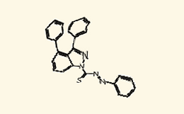 S=C(N=Nc1ccccc1)n1nc(-c2ccccc2)c2c(-c3ccccc3)cccc21